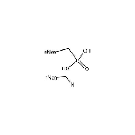 CCCCCCCCCCP(=O)(O)O.CCCCCCCCC[CH2][Ni]